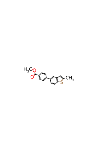 COC(=O)c1ccc(-c2ccc3sc(C)cc3c2)cc1